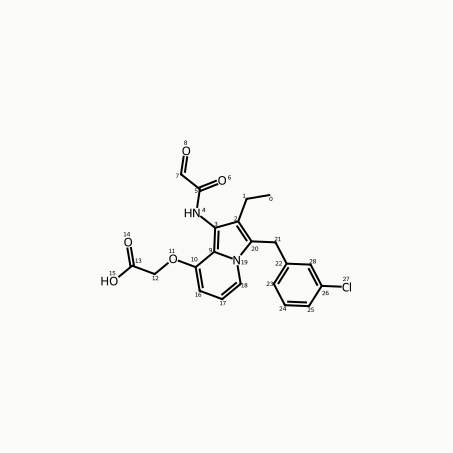 CCc1c(NC(=O)C=O)c2c(OCC(=O)O)cccn2c1Cc1cccc(Cl)c1